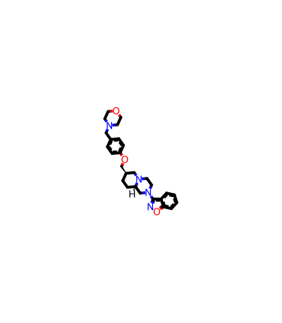 c1ccc2c(N3CCN4C[C@H](COc5ccc(CN6CCOCC6)cc5)CC[C@@H]4C3)noc2c1